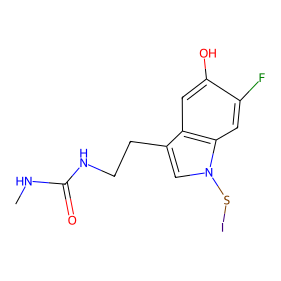 CNC(=O)NCCc1cn(SI)c2cc(F)c(O)cc12